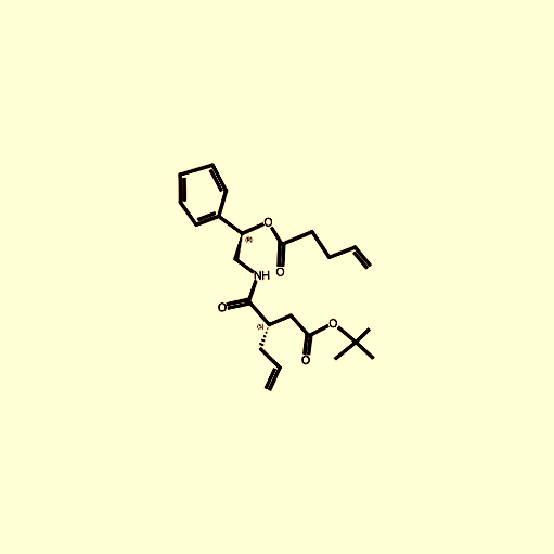 C=CCCC(=O)O[C@@H](CNC(=O)[C@@H](CC=C)CC(=O)OC(C)(C)C)c1ccccc1